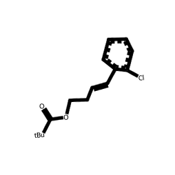 CC(C)(C)C(=O)OCCC=Cc1ccccc1Cl